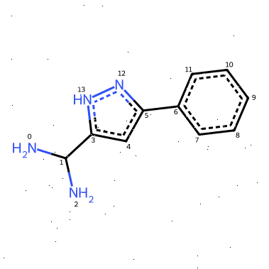 NC(N)c1cc(-c2ccccc2)n[nH]1